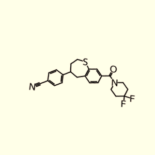 N#Cc1ccc(C2CCSc3cc(C(=O)N4CCC(F)(F)CC4)ccc3C2)cc1